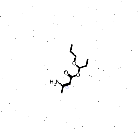 CCCOC(CC)OC(=O)/C=C(/C)N